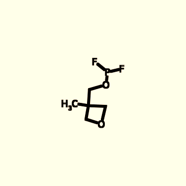 CC1(COP(F)F)COC1